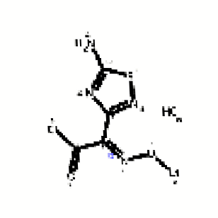 CCO/N=C(/C(=O)Cl)c1nsc(N)n1.Cl